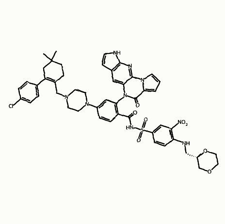 CC1(C)CCC(CN2CCN(c3ccc(C(=O)NS(=O)(=O)c4ccc(NC[C@H]5COCCO5)c([N+](=O)[O-])c4)c(-n4c(=O)c5cccn5c5nc6[nH]ccc6cc54)c3)CC2)=C(c2ccc(Cl)cc2)C1